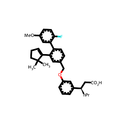 CCC[C@H](CC(=O)O)c1cccc(OCc2ccc(-c3cc(OC)ccc3F)c(C3=CCCC3(C)C)c2)c1